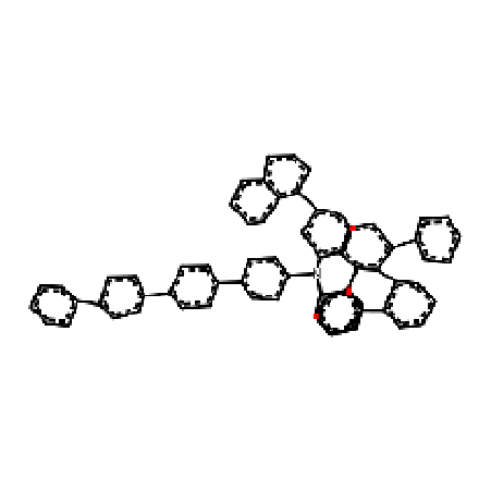 c1ccc(-c2ccc(-c3ccc(-c4ccc(N(c5cccc(-c6cccc7ccccc67)c5)c5ccccc5-c5cccc(-c6ccccc6)c5-c5ccccc5-c5ccccc5)cc4)cc3)cc2)cc1